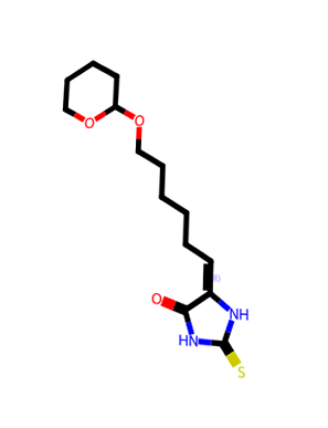 O=C1NC(=S)N/C1=C/CCCCCOC1CCCCO1